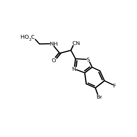 N#CC(C(=O)NCC(=O)O)c1nc2cc(Br)c(F)cc2s1